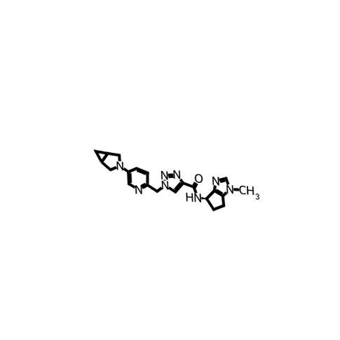 Cn1cnc2c1CC[C@H]2NC(=O)c1cn(Cc2ccc(N3CC4CC4C3)cn2)nn1